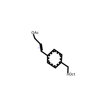 CCCCCCCCCc1ccc(/C=C/COC(C)=O)cc1